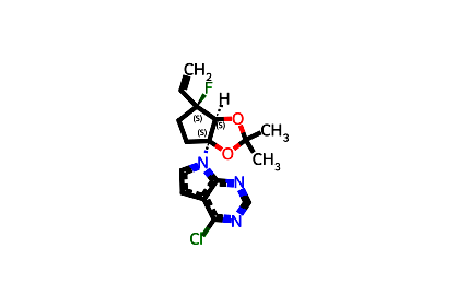 C=C[C@@]1(F)CC[C@]2(n3ccc4c(Cl)ncnc43)OC(C)(C)O[C@H]12